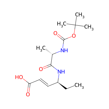 CC[C@@H](C=CC(=O)O)NC(=O)[C@H](C)NC(=O)OC(C)(C)C